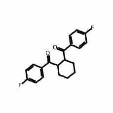 O=C(c1ccc(F)cc1)C1CCCCC1C(=O)c1ccc(F)cc1